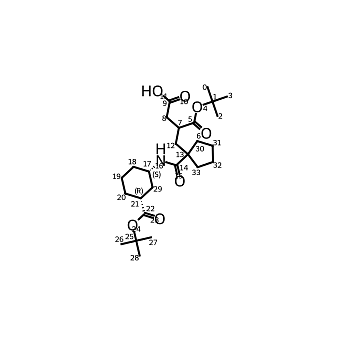 CC(C)(C)OC(=O)C(CC(=O)O)CC1(C(=O)N[C@H]2CCC[C@@H](C(=O)OC(C)(C)C)C2)CCCC1